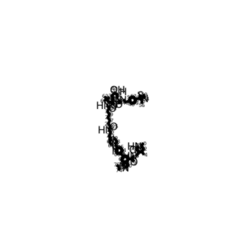 Cc1cc(C)c(CNC(=O)c2cc(-c3ccc(N4CCN(CCNC(=O)CCCCCC(=O)N[C@H](C(=O)N5C[C@H](O)C[C@H]5C(=O)NCc5ccc(-c6scnc6C)cc5)C(C)(C)C)CC4)nc3)cc3c2cnn3C(C)C)c(=O)[nH]1